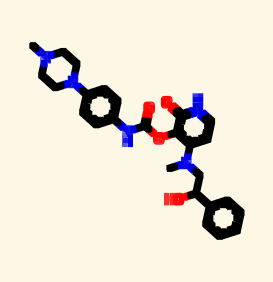 CN1CCN(c2ccc(NC(=O)Oc3c(N(C)CC(O)c4ccccc4)cc[nH]c3=O)cc2)CC1